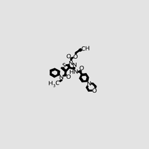 C#CCOC(=O)n1nc(NC(=O)c2ccc(N3CCOCC3)cc2)c2c(C(=O)N(CC)c3ccccc3)csc21